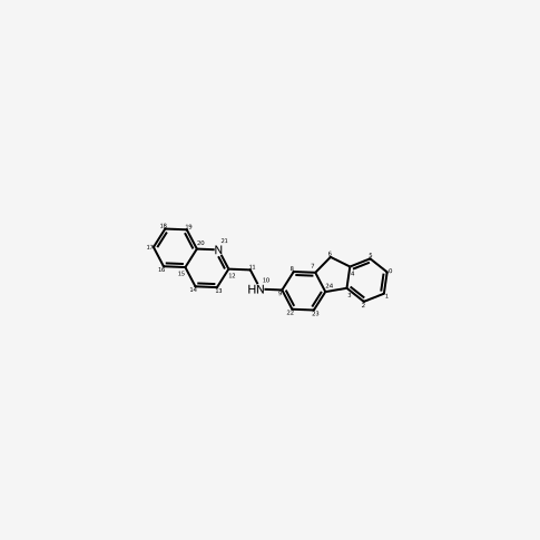 c1ccc2c(c1)Cc1cc(NCc3ccc4ccccc4n3)ccc1-2